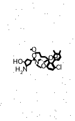 COCCCC[C@@](O)(c1cccc(Cl)c1-c1ccc(C)c(C)c1)[C@H]1CN(C(=O)[C@H]2C[C@@H](N)[C@@H](O)C2)CCO1